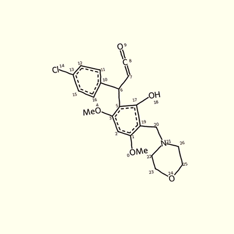 COc1cc(OC)c(C(C=C=O)c2ccc(Cl)cc2)c(O)c1CN1CCOCC1